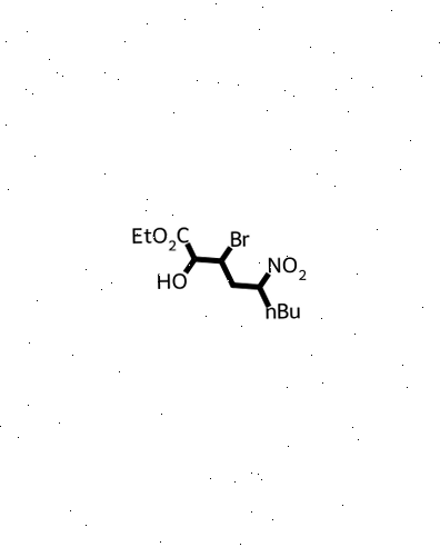 CCCCC(CC(Br)C(O)C(=O)OCC)[N+](=O)[O-]